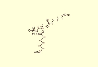 CCCCCCCCCCCCCCCC(=O)OC[C@H](COP(=O)(Cl)Cl)OC(=O)CCCCCCCCCCCCCCC